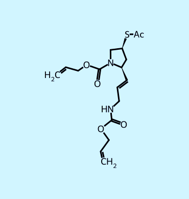 C=CCOC(=O)NC/C=C/[C@@H]1C[C@H](SC(C)=O)CN1C(=O)OCC=C